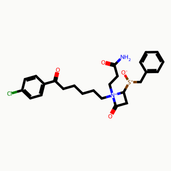 NC(=O)CC[N+]1(CCCCCC(=O)c2ccc(Cl)cc2)C(=O)CC1[S+]([O-])Cc1ccccc1